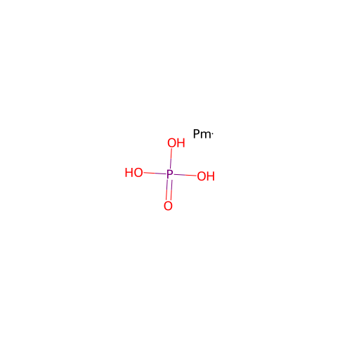 O=P(O)(O)O.[Pm]